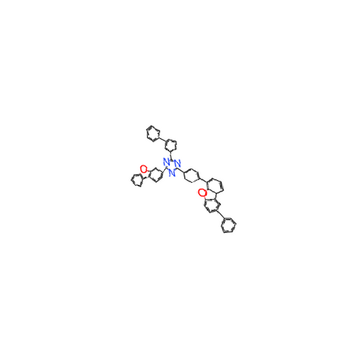 C1=CC2c3cc(-c4ccccc4)ccc3OC2C(C2=CC=C(c3nc(-c4cccc(-c5ccccc5)c4)nc(-c4ccc5c(c4)oc4ccccc45)n3)CC2)=C1